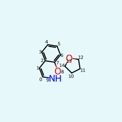 C1=Cc2ccccc2ON1.C1CCOC1